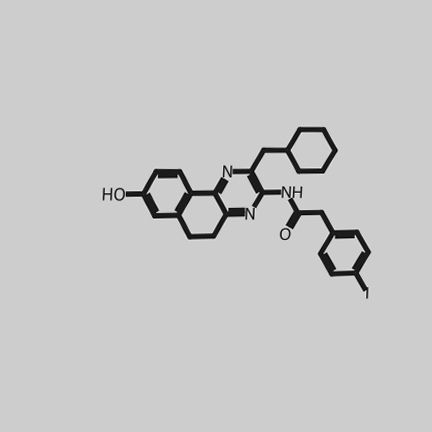 O=C(Cc1ccc(I)cc1)Nc1nc2c(nc1CC1CCCCC1)-c1ccc(O)cc1CC2